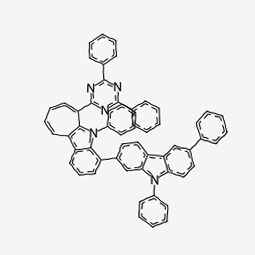 C1=CC=Cc2c(n(-c3ccccc3)c3c(-c4ccc5c6cc(-c7ccccc7)ccc6n(-c6ccccc6)c5c4)cccc23)C=1c1nc(-c2ccccc2)nc(-c2ccccc2)n1